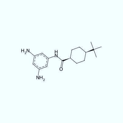 CC(C)(C)[C@H]1CC[C@@H](C(=O)Nc2cc(N)cc(N)c2)CC1